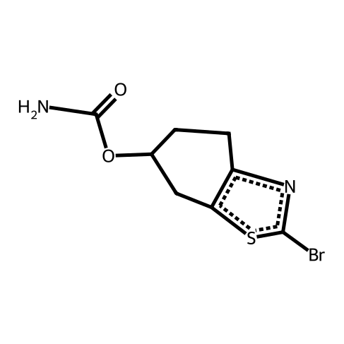 NC(=O)OC1CCc2nc(Br)sc2C1